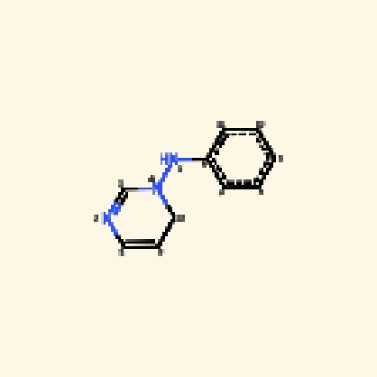 C1=CN=CN(Nc2ccccc2)C1